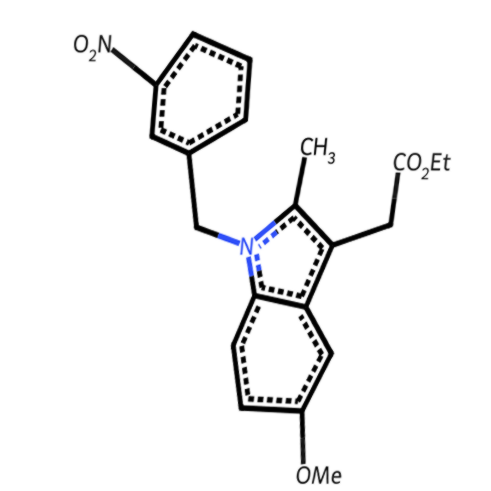 CCOC(=O)Cc1c(C)n(Cc2cccc([N+](=O)[O-])c2)c2ccc(OC)cc12